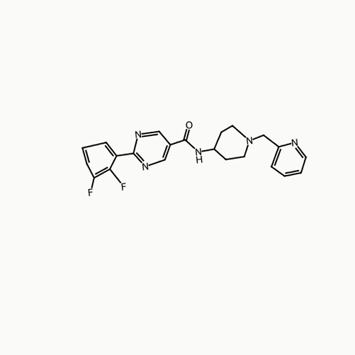 O=C(NC1CCN(Cc2ccccn2)CC1)c1cnc(-c2cccc(F)c2F)nc1